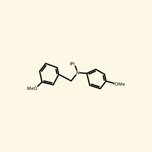 COc1ccc(N(Cc2cccc(OC)c2)C(C)C)cc1